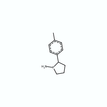 Cc1ccc(C2CCCP2N)cc1